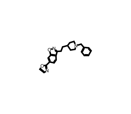 c1ccc(CN2CCC(CCc3noc4cc(-c5ncco5)ccc34)CC2)cc1